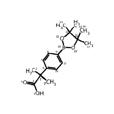 CC(C)(C(=O)O)c1ccc(B2OC(C)(C)C(C)(C)O2)cc1